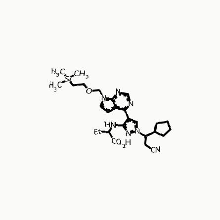 CCC(Nc1nn(C(CC#N)C2CCCC2)cc1-c1ncnc2c1ccn2COCC[Si](C)(C)C)C(=O)O